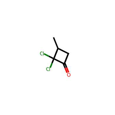 CC1CC(=O)C1(Cl)Cl